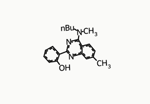 CCCCN(C)c1nc(-c2ccccc2O)nc2cc(C)ccc12